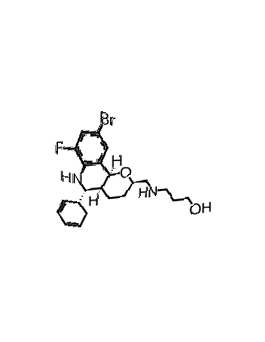 OCCCNC[C@H]1CC[C@@H]2[C@H](O1)c1cc(Br)cc(F)c1N[C@H]2C1C=CC=CC1